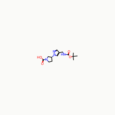 CC(C)(C)OC(=O)NCc1cnn([C@H]2CCN(C(=O)O)C2)c1